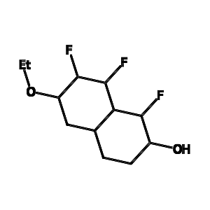 CCOC1CC2CCC(O)C(F)C2C(F)C1F